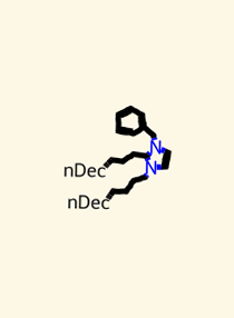 CCCCCCCCCCCCCCN1C=CN(Cc2ccccc2)C1CCCCCCCCCCCCC